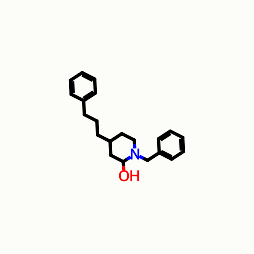 OC1CC(CCCc2ccccc2)CCN1Cc1ccccc1